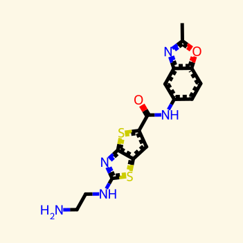 Cc1nc2cc(NC(=O)c3cc4sc(NCCN)nc4s3)ccc2o1